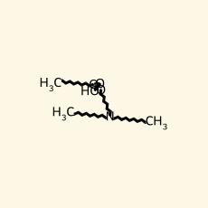 CCCCCCCCCCN(CCCCCCCCCC)CCCCCCOP(=O)(O)OCCCCCCCCC